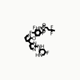 CC(F)(F)CCS(=O)(=O)Nc1c(F)cc(Oc2ncccc2-c2ccnc(N[C@@H]3CNC[C@@H](F)C3)n2)c(F)c1F